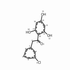 O=C(Cc1cccc(Cl)c1)c1c(O)cc(O)cc1O